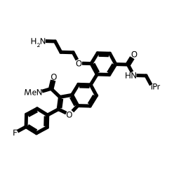 CNC(=O)c1c(-c2ccc(F)cc2)oc2ccc(-c3cc(C(=O)NCC(C)C)ccc3OCCCN)cc12